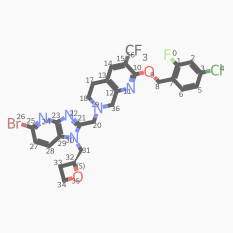 Fc1cc(Cl)ccc1COc1nc2c(cc1C(F)(F)F)CCN(Cc1nc3nc(Br)ccc3n1C[C@@H]1CCO1)C2